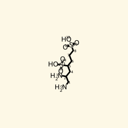 NCC(N)CC(CCCS(=O)(=O)O)S(=O)(=O)O